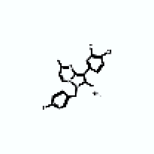 CC1=NC2=C(c3ccc(Cl)c(Cl)c3)C(C)N(Cc3ccc(F)cc3)N2C=C1.N